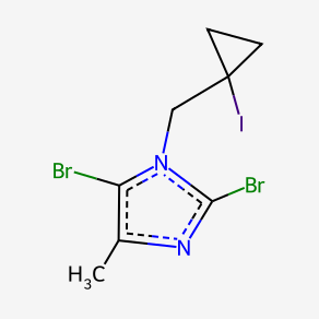 Cc1nc(Br)n(CC2(I)CC2)c1Br